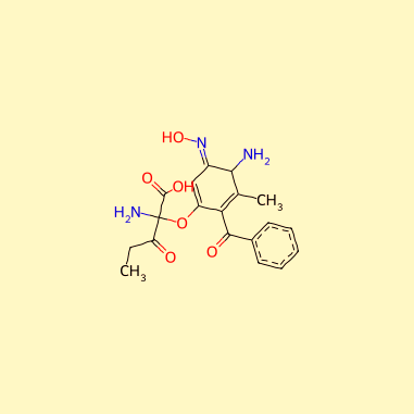 CCC(=O)C(N)(OC1=CC(=NO)C(N)C(C)=C1C(=O)c1ccccc1)C(=O)O